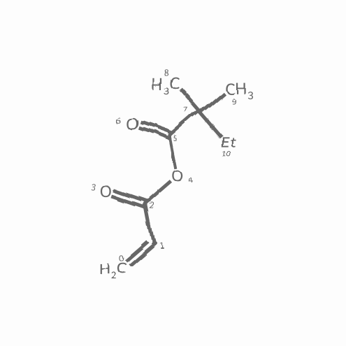 C=CC(=O)OC(=O)C(C)(C)CC